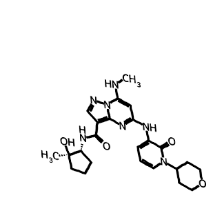 CNc1cc(Nc2cccn(C3CCOCC3)c2=O)nc2c(C(=O)N[C@@H]3CCC[C@@]3(C)O)cnn12